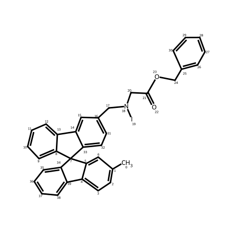 Cc1ccc2c(c1)C1(c3ccccc3-c3cc(CN(I)CC(=O)OCc4ccccc4)ccc31)c1ccccc1-2